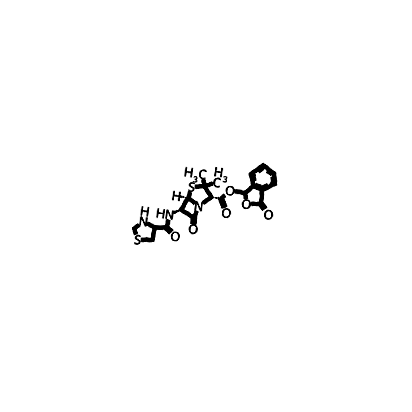 CC1(C)S[C@@H]2[C@H](NC(=O)C3CSCN3)C(=O)N2[C@H]1C(=O)OC1OC(=O)c2ccccc21